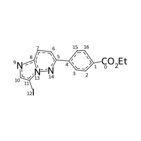 CCOC(=O)c1ccc(-c2ccc3ncc(I)n3n2)cc1